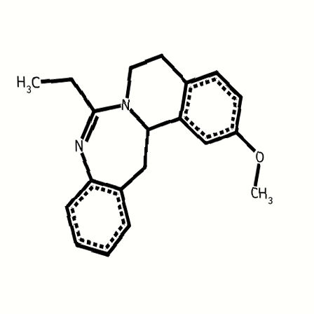 CCC1=Nc2ccccc2CC2c3cc(OC)ccc3CCN12